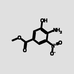 COC(=O)c1cc(O)c(N)c([N+](=O)[O-])c1